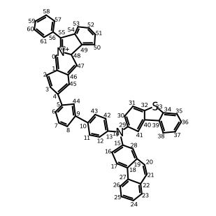 C1=c2ccc(-c3cccc(-c4ccc(N(c5ccc6c(ccc7ccccc76)c5)c5ccc6sc7ccccc7c6c5)cc4)c3)cc2=CC2c3ccccc3C(c3ccccc3)=[N+]12